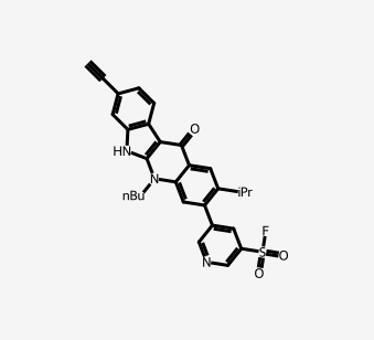 C#Cc1ccc2c(c1)[nH]c1c2c(=O)c2cc(C(C)C)c(-c3cncc(S(=O)(=O)F)c3)cc2n1CCCC